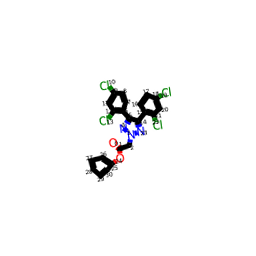 O=C(Cn1nc(-c2ccc(Cl)cc2Cl)c(-c2ccc(Cl)cc2Cl)n1)Oc1ccccc1